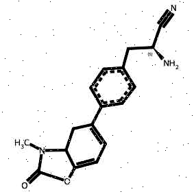 CN1C(=O)OC2=CC=C(c3ccc(C[C@H](N)C#N)cc3)CC21